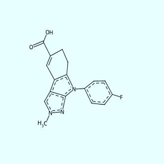 Cn1cc2c3c(n(-c4ccc(F)cc4)c2n1)CCC(C(=O)O)=C3